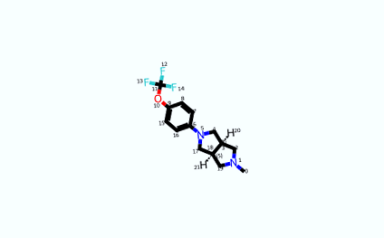 CN1C[C@@H]2CN(c3ccc(OC(F)(F)F)cc3)C[C@@H]2C1